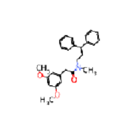 COc1cc(CC(=O)N(C)CCC(c2ccccc2)c2ccccc2)cc(OC)c1